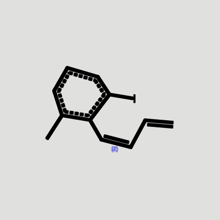 C=C/C=C\c1c(C)cccc1I